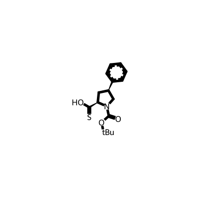 CC(C)(C)OC(=O)N1C[C@H](c2ccccc2)C[C@@H]1C(O)=S